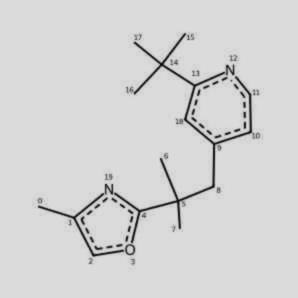 Cc1coc(C(C)(C)Cc2ccnc(C(C)(C)C)c2)n1